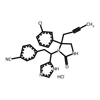 CC#CCC1(c2cccc(Cl)c2)CNC(=O)N1C(Cc1ccc(C#N)cc1)c1cnc[nH]1.Cl